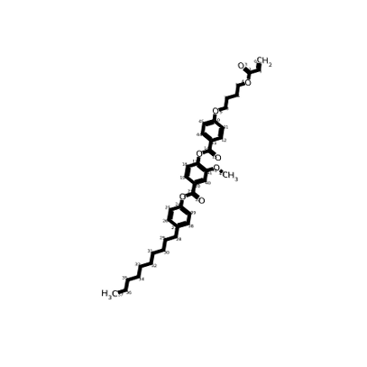 C=CC(=O)OCCCCOc1ccc(C(=O)Oc2ccc(C(=O)Oc3ccc(CCCCCCCCCC)cc3)cc2OC)cc1